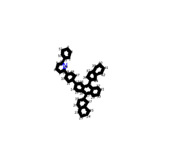 c1ccc(-c2cccc(-c3ccc(-c4ccc5c(-c6ccc7ccccc7c6)c6ccccc6c(-c6ccc7ccccc7c6)c5c4)cc3)n2)cc1